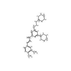 Cc1cnc(C=NNc2cc(N3CCOCC3)cc(OCCN3CCOCC3)n2)cc1C